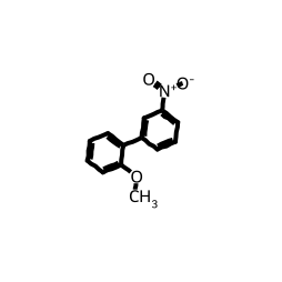 COc1ccccc1-c1cccc([N+](=O)[O-])c1